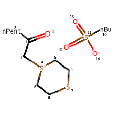 CCCCCC(=O)C[S+]1CCSCC1.CCCCS(=O)(=O)[O-]